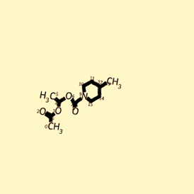 CC(=O)OC(C)OC(=O)N1CCC(C)CC1